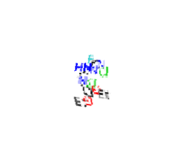 CCOc1cc(CN2CCC(Nc3nc(Cl)ncc3F)CC2)c(Cl)c(OCC)c1